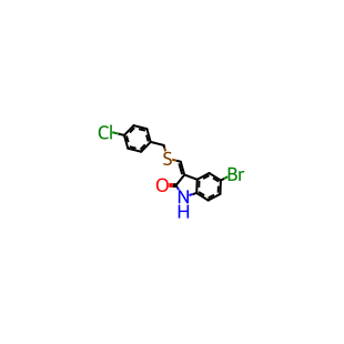 O=C1Nc2ccc(Br)cc2C1=CSCc1ccc(Cl)cc1